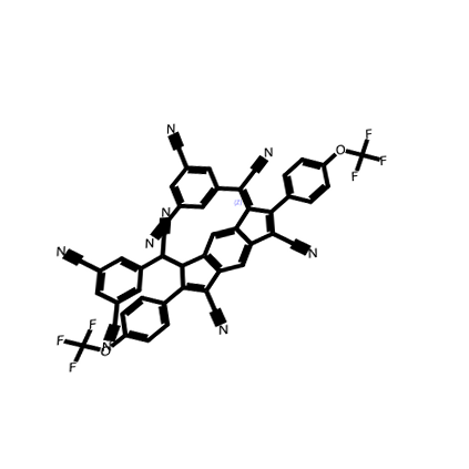 N#CC1=C(c2ccc(OC(F)(F)F)cc2)/C(=C(\C#N)c2cc(C#N)cc(C#N)c2)c2cc3c(cc21)C(C#N)=C(c1ccc(OC(F)(F)F)cc1)C3C(C#N)c1cc(C#N)cc(C#N)c1